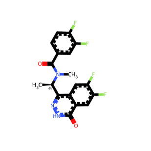 C[C@H](c1n[nH]c(=O)c2cc(F)c(F)cc12)N(C)C(=O)c1ccc(F)c(F)c1